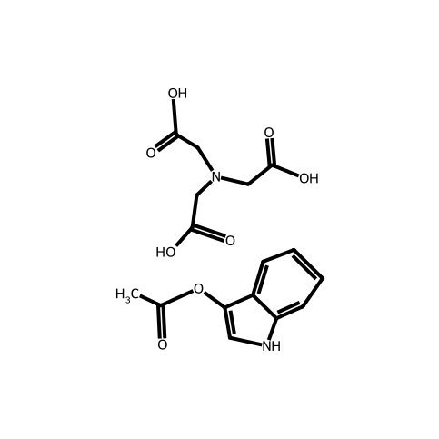 CC(=O)Oc1c[nH]c2ccccc12.O=C(O)CN(CC(=O)O)CC(=O)O